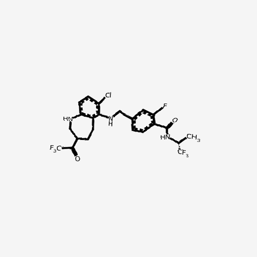 C[C@@H](NC(=O)c1ccc(CNc2c(Cl)ccc3c2CCC(C(=O)C(F)(F)F)CN3)cc1F)C(F)(F)F